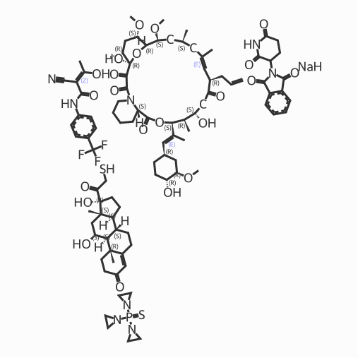 C/C(O)=C(\C#N)C(=O)Nc1ccc(C(F)(F)F)cc1.C=CC[C@@H]1/C=C(\C)C[C@H](C)C[C@H](OC)[C@H]2O[C@@](O)(C(=O)C(=O)N3CCCC[C@H]3C(=O)O[C@H](/C(C)=C/[C@@H]3CC[C@@H](O)[C@H](OC)C3)[C@H](C)[C@@H](O)CC1=O)[C@H](C)C[C@@H]2OC.C[C@]12CCC(=O)C=C1CC[C@@H]1[C@@H]2[C@@H](O)C[C@@]2(C)[C@H]1CC[C@]2(O)C(=O)CS.O=C1CCC(N2C(=O)c3ccccc3C2=O)C(=O)N1.S=P(N1CC1)(N1CC1)N1CC1.[NaH]